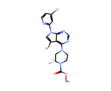 C[C@@H]1CN(c2ncnc3c2c(Br)cn3-c2cc(Cl)ccn2)CCN1C(=O)OC(C)(C)C